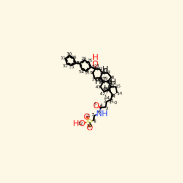 C[C@H](CCC(=O)NCCS(=O)(=O)O)[C@H]1CC[C@H]2[C@@H]3CC[C@H]4C[C@@](O)(c5ccc(-c6ccccc6)cc5)CC[C@]4(C)[C@H]3CC[C@]12C